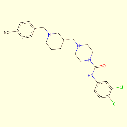 N#Cc1ccc(CN2CCC[C@@H](CN3CCN(C(=O)Nc4ccc(Cl)c(Cl)c4)CC3)C2)cc1